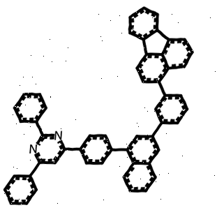 c1ccc(-c2cc(-c3ccc(-c4cc(-c5cccc(-c6ccc7c8c(cccc68)-c6ccccc6-7)c5)cc5ccccc45)cc3)nc(-c3ccccc3)n2)cc1